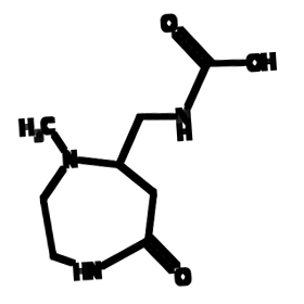 CN1CCNC(=O)CC1CNC(=O)O